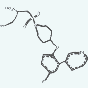 CC(C)CC(CS(=O)(=O)N1CCC(Oc2ccc(F)cc2-c2cccnc2)CC1)C(=O)O